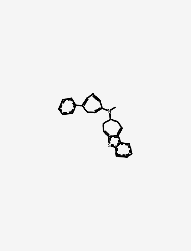 CN(C1=CCC(c2ccccc2)=CC=C1)C1CC=c2sc3ccccc3c2=CC1